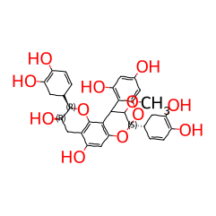 COC1C2c3c(O)cc(O)cc3O[C@@]1(C1C=CC(O)=C(O)C1)Oc1cc(O)c3c(c12)O[C@H](C1C=CC(O)=C(O)C1)[C@H](O)C3